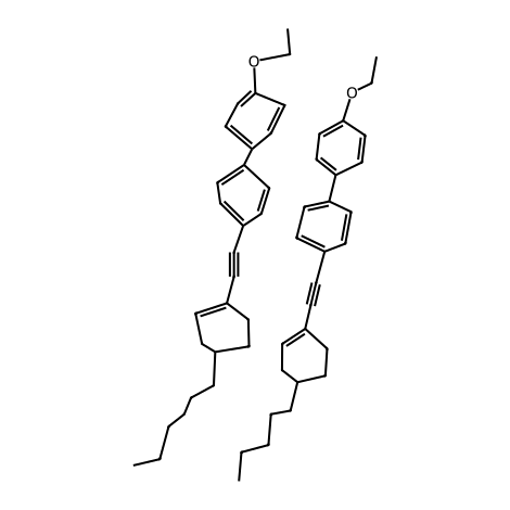 CCCCCC1CC=C(C#Cc2ccc(-c3ccc(OCC)cc3)cc2)CC1.CCCCCCC1CC=C(C#Cc2ccc(-c3ccc(OCC)cc3)cc2)CC1